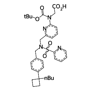 CCCCC1(c2ccc(CN(Cc3cccc(N(CC(=O)O)C(=O)OC(C)(C)C)n3)S(=O)(=O)c3ccccn3)cc2)CCC1